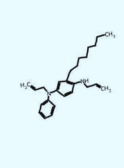 C=CCNc1ccc(N(CC=C)c2ccccc2)cc1CCCCCCCC